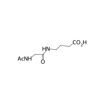 CC(=O)NCC(=O)NCCCC(=O)O